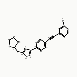 Fc1cccc(C#Cc2ccc(-c3noc(CC4CCCO4)n3)cc2)c1